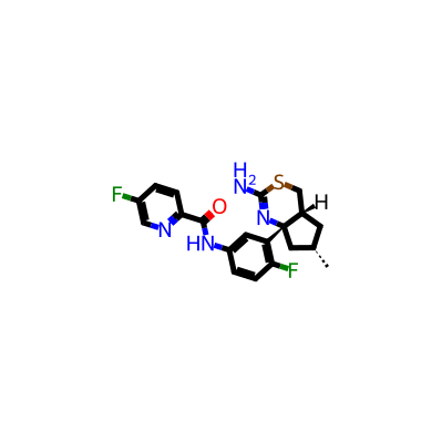 C[C@H]1C[C@H]2CSC(N)=N[C@@]2(c2cc(NC(=O)c3ccc(F)cn3)ccc2F)C1